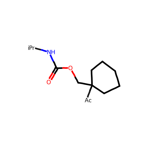 CC(=O)C1(COC(=O)NC(C)C)CCCCC1